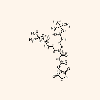 CC(C)(C)OC(=O)NCCN(CCNC(=O)OC(C)(C)C)C(=O)CC(=O)ON1C(=O)CCC1=O